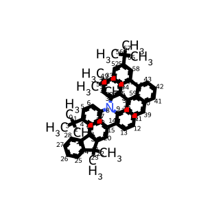 CC(C)(C)c1ccc(N(c2ccccc2-c2ccc3c(c2)C(C)(C)c2ccccc2-3)c2ccccc2-c2cccc3cccc(-c4cc(C(C)(C)C)cc(C(C)(C)C)c4)c23)cc1